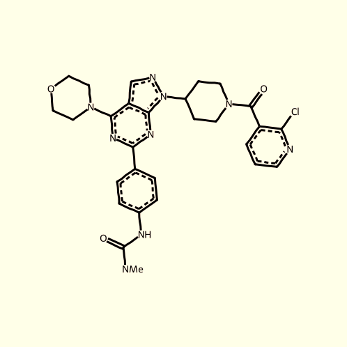 CNC(=O)Nc1ccc(-c2nc(N3CCOCC3)c3cnn(C4CCN(C(=O)c5cccnc5Cl)CC4)c3n2)cc1